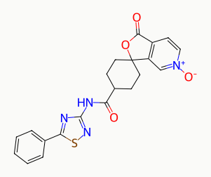 O=C1OC2(CCC(C(=O)Nc3nsc(-c4ccccc4)n3)CC2)c2c[n+]([O-])ccc21